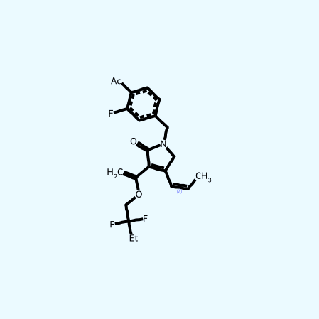 C=C(OCC(F)(F)CC)C1=C(/C=C\C)CN(Cc2ccc(C(C)=O)c(F)c2)C1=O